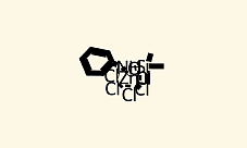 C[Si](C)(C)[O][Zn]([Cl])([Cl])([Cl])([Cl])([Cl])[NH]c1ccccc1